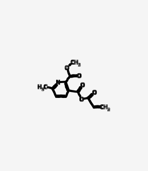 C=CC(=O)OC(=O)c1ccc(C)nc1C(=O)OC